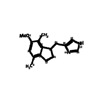 COc1cc(C)c2c(c1C)C(Cc1c[nH]cn1)CC2